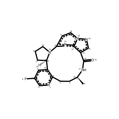 C[C@H]1CCc2ncc(F)cc2[C@H]2CCCN2c2ccn3ncc(c3n2)C(=O)N1